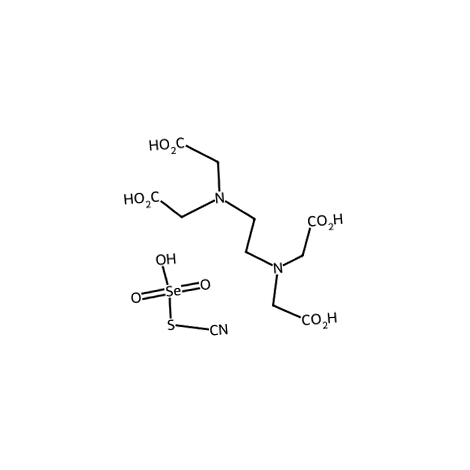 N#CS[Se](=O)(=O)O.O=C(O)CN(CCN(CC(=O)O)CC(=O)O)CC(=O)O